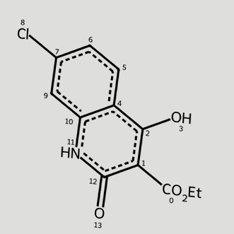 CCOC(=O)c1c(O)c2ccc(Cl)cc2[nH]c1=O